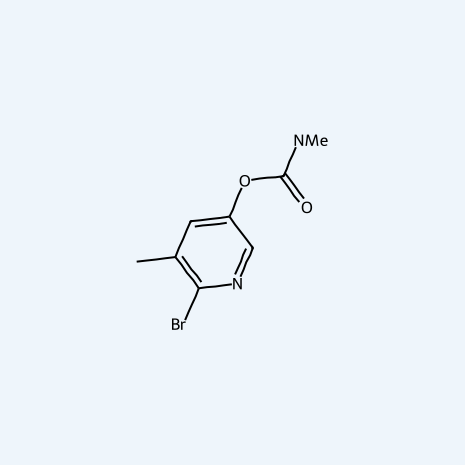 CNC(=O)Oc1cnc(Br)c(C)c1